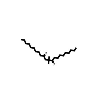 CCCCCCCCCC(=O)CC(C)(C)C(=O)CCCCCCCCC